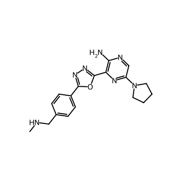 CNCc1ccc(-c2nnc(-c3nc(N4CCCC4)cnc3N)o2)cc1